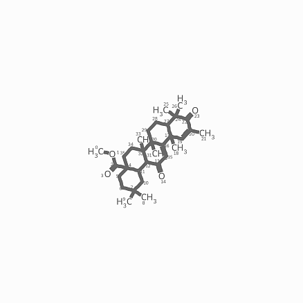 COC(=O)C12CCC(C)(C)CC1C1C(=O)C=C3C4(C)C=C(C)C(=O)C(C)(C)C4CCC3(C)C1(C)CC2